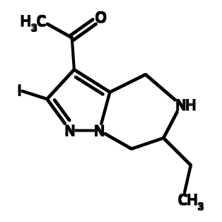 CCC1Cn2nc(I)c(C(C)=O)c2CN1